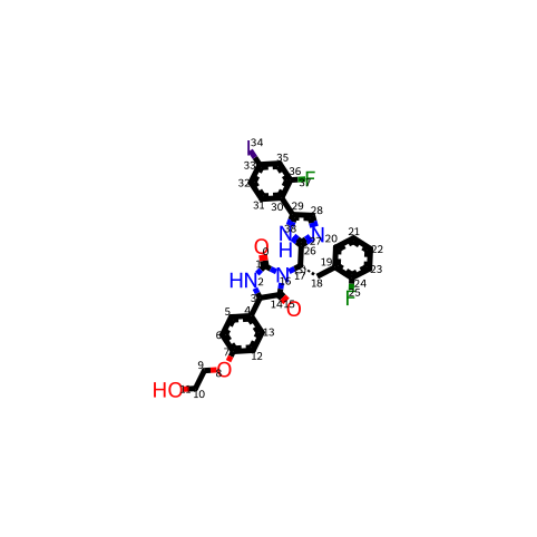 O=C1NC(c2ccc(OCCO)cc2)C(=O)N1[C@@H](Cc1ccccc1F)c1ncc(-c2ccc(I)cc2F)[nH]1